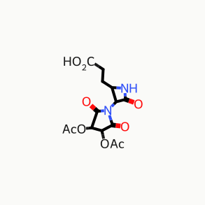 CC(=O)OC1C(=O)N(C2C(=O)NC2CCC(=O)O)C(=O)C1OC(C)=O